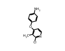 Cc1c(Oc2ccc(N)cc2)ccnc1Cl